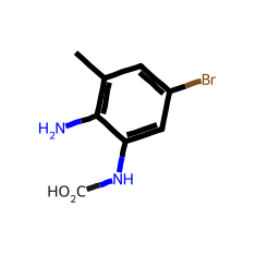 Cc1cc(Br)cc(NC(=O)O)c1N